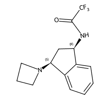 O=C(N[C@@H]1C[C@H](N2CCC2)c2ccccc21)C(F)(F)F